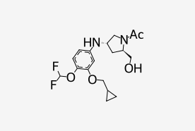 CC(=O)N1C[C@@H](Nc2ccc(OC(F)F)c(OCC3CC3)c2)C[C@@H]1CO